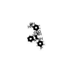 O=S(=O)(Nc1nc2ccccc2nc1Nc1ccc(F)cc1)c1cccc(NO)c1